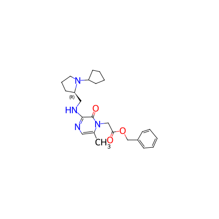 Cc1cnc(NC[C@H]2CCCN2C2CCCC2)c(=O)n1CC(=O)OCc1ccccc1